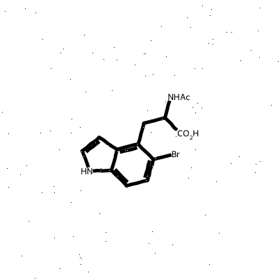 CC(=O)NC(Cc1c(Br)ccc2[nH]ccc12)C(=O)O